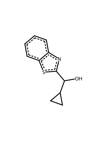 OC(c1nc2ccccc2s1)C1CC1